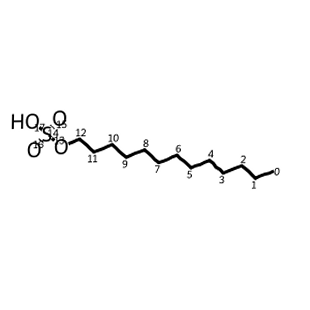 CCCCCCCCCCCCCOS(=O)(=O)O